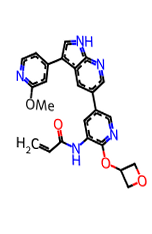 C=CC(=O)Nc1cc(-c2cnc3[nH]cc(-c4ccnc(OC)c4)c3c2)cnc1OC1COC1